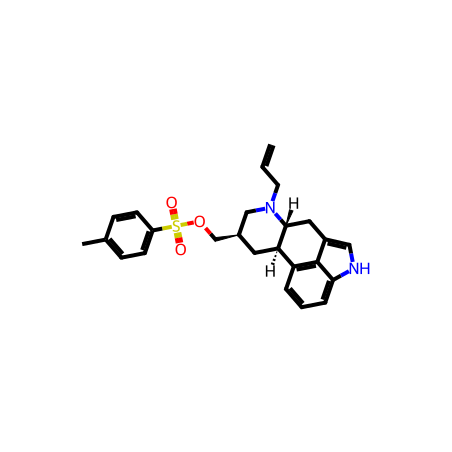 C=CCN1C[C@H](COS(=O)(=O)c2ccc(C)cc2)C[C@@H]2c3cccc4[nH]cc(c34)C[C@H]21